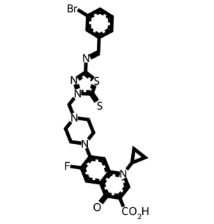 O=C(O)c1cn(C2CC2)c2cc(N3CCN(Cn4nc(N=Cc5cccc(Br)c5)sc4=S)CC3)c(F)cc2c1=O